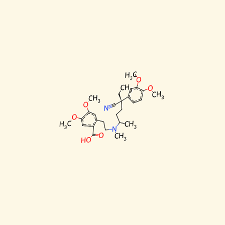 CC[C@](C#N)(CCC(C)N(C)CCc1cc(OC)c(OC)cc1C(=O)O)c1ccc(OC)c(OC)c1